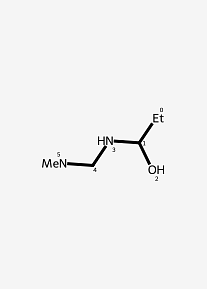 CCC(O)NCNC